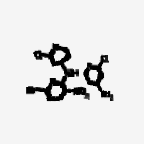 Nc1ccnc(Cl)c1.O=[N+]([O-])c1ccc(Br)nc1Nc1ccnc(Cl)c1